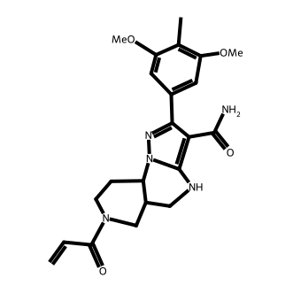 C=CC(=O)N1CCC2C(CNc3c(C(N)=O)c(-c4cc(OC)c(C)c(OC)c4)nn32)C1